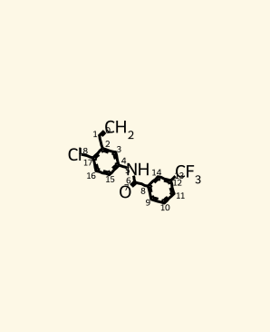 C=Cc1cc(NC(=O)c2cccc(C(F)(F)F)c2)ccc1Cl